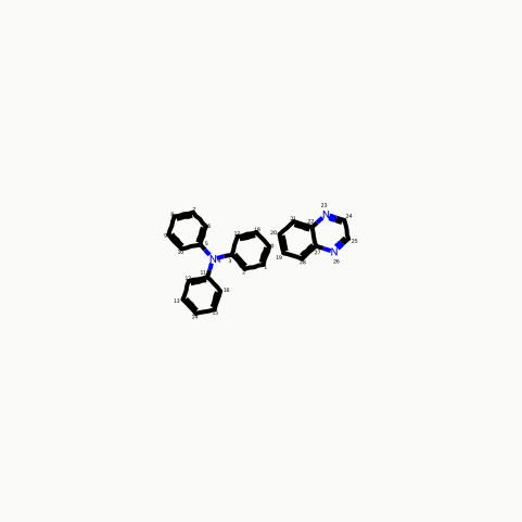 c1ccc(N(c2ccccc2)c2ccccc2)cc1.c1ccc2nccnc2c1